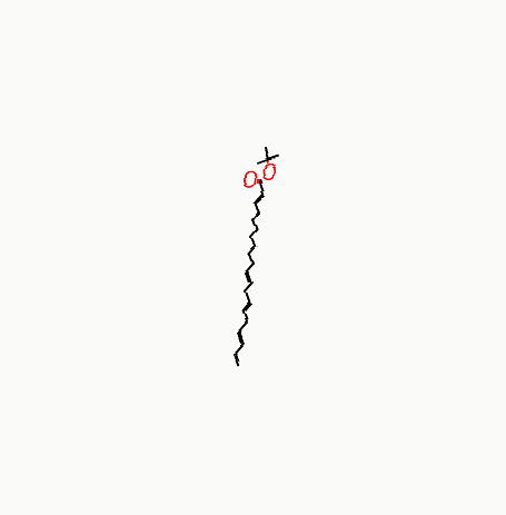 CCC=CCC=CCC=CCCCCCCCC=CC(=O)OC(C)(C)C